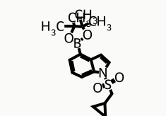 CC1(C)OB(c2cccc3c2ccn3S(=O)(=O)CC2CC2)OC1(C)C